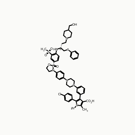 Cc1c(C(=O)O)c(-c2cccc(N3CCN(c4ccc(N5CCO[P@]5(=O)c5ccc(N[C@H](CCN6CCC(CO)CC6)CSc6ccccc6)c(S(C)(=O)=O)c5)cc4)CC3)c2)c(-c2ccc(Cl)cc2)n1C(C)C